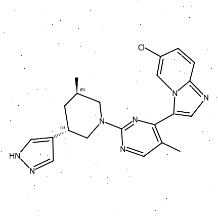 Cc1cnc(N2C[C@H](C)C[C@@H](c3cn[nH]c3)C2)nc1-c1cnc2ccc(Cl)cn12